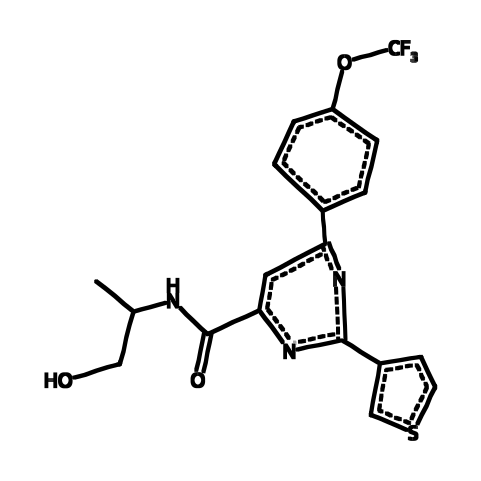 CC(CO)NC(=O)c1cc(-c2ccc(OC(F)(F)F)cc2)nc(-c2ccsc2)n1